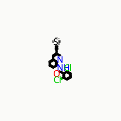 C[Si](C)(C)C#Cc1cnc2c(NC(=O)c3c(Cl)cccc3Cl)cccc2c1